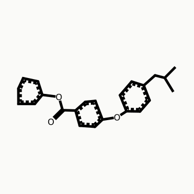 CC(C)Cc1ccc(Oc2ccc(C(=O)Oc3ccccc3)cc2)cc1